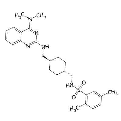 Cc1ccc(C)c(S(=O)(=O)NC[C@H]2CC[C@H](CNc3nc(N(C)C)c4ccccc4n3)CC2)c1